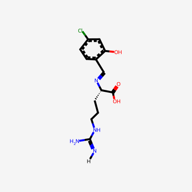 [H]/N=C(\N)NCCC[C@H](N=Cc1ccc(Cl)cc1O)C(=O)O